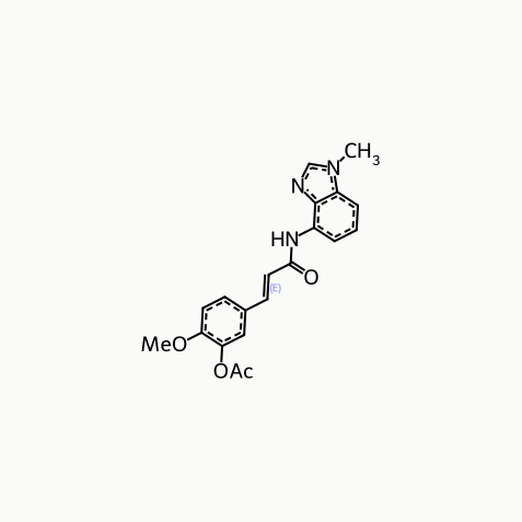 COc1ccc(/C=C/C(=O)Nc2cccc3c2ncn3C)cc1OC(C)=O